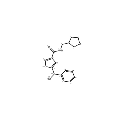 O=C(NCC1CCOC1)c1cc(C(O)c2ccccc2)on1